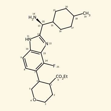 CCOC(=O)C1CCOCC1c1ccc2[nH]c([C@@H](N)C3CCC(C)CC3)nc2c1F